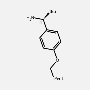 CCCC(C)COc1ccc([C@@H](N)C(C)(C)C)cc1